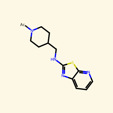 CC(=O)N1CCC(CNc2nc3cccnc3s2)CC1